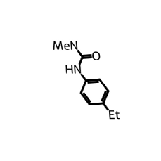 [CH2]Cc1ccc(NC(=O)NC)cc1